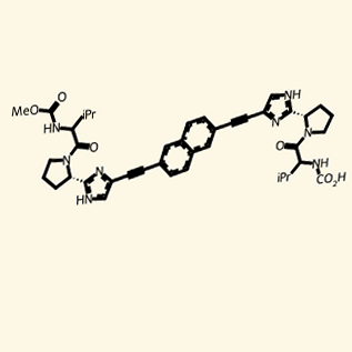 COC(=O)NC(C(=O)N1CCC[C@H]1c1nc(C#Cc2ccc3cc(C#Cc4c[nH]c([C@@H]5CCCN5C(=O)C(NC(=O)O)C(C)C)n4)ccc3c2)c[nH]1)C(C)C